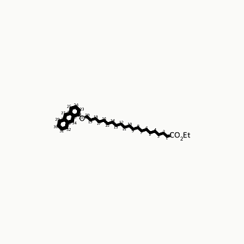 CCOC(=O)CCCCCCCCCCCCCCCCCCCCOc1cccc2cc3ccccc3cc12